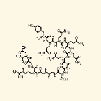 C[C@H](NC(=O)[C@H](CCC(N)=O)NC(=O)[C@H](CCC(N)=O)NC(=O)[C@H](CCC(N)=O)NC(=O)[C@H](CCC(N)=O)NC(=O)[C@H](CCC(N)=O)NC(=O)[C@@H](N)Cc1ccc(O)cc1)C(=O)N[C@H](C(=O)NCC(=O)NCC(=O)N[C@@H](CCCNC(=N)N)C(=O)NCC(=O)N[C@@H](CC(=O)O)C(=O)O)[C@@H](C)O